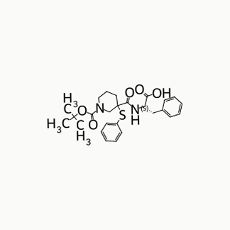 CC(C)(C)OC(=O)N1CCCC(Sc2ccccc2)(C(=O)N[C@@H](Cc2ccccc2)C(=O)O)C1